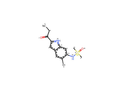 CCc1cc2cc(C(=O)CC#N)[nH]c2cc1N[SH](C)(C)=O